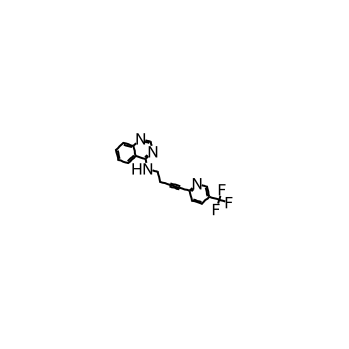 FC(F)(F)c1ccc(C#CCCNc2ncnc3ccccc23)nc1